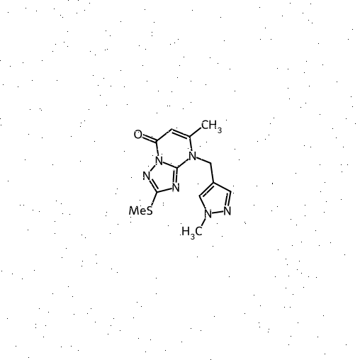 CSc1nc2n(Cc3cnn(C)c3)c(C)cc(=O)n2n1